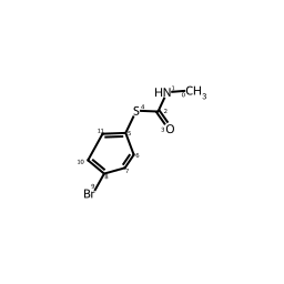 CNC(=O)Sc1ccc(Br)cc1